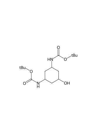 CC(C)(C)OC(=O)NC1CC(O)CC(NC(=O)OC(C)(C)C)C1